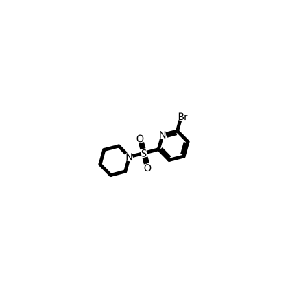 O=S(=O)(c1cccc(Br)n1)N1CCCCC1